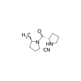 C[C@@H]1CC[C@@H](C#N)N1C(=O)[C@@H]1CCCN1